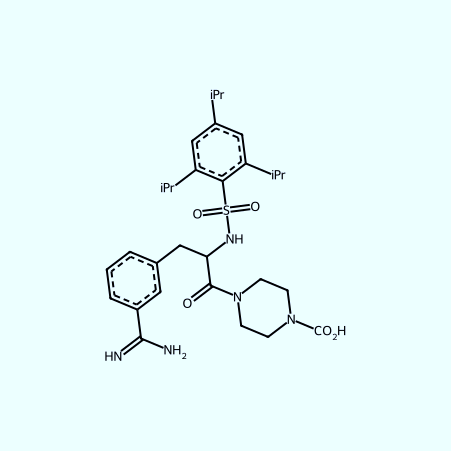 CC(C)c1cc(C(C)C)c(S(=O)(=O)NC(Cc2cccc(C(=N)N)c2)C(=O)N2CCN(C(=O)O)CC2)c(C(C)C)c1